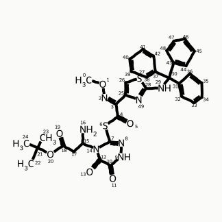 CON=C(C(=O)Sc1n[nH]c(=O)c(=O)n1C(N)CC(=O)OC(C)(C)C)c1csc(NC(c2ccccc2)(c2ccccc2)c2ccccc2)n1